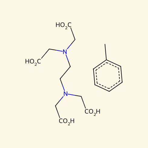 Cc1ccccc1.O=C(O)CN(CCN(CC(=O)O)CC(=O)O)CC(=O)O